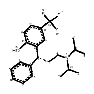 CC(C)N(CC[C@H](c1ccccc1)c1cc(C(F)(F)F)ccc1O)C(C)C